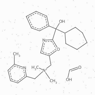 Cc1cccc(C[N+](C)(C)Cc2cnc(C(O)(c3ccccc3)C3CCCCC3)o2)n1.O=CO